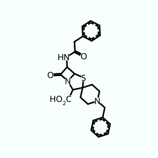 O=C(Cc1ccccc1)NC1C(=O)N2C1SC1(CCN(Cc3ccccc3)CC1)C2C(=O)O